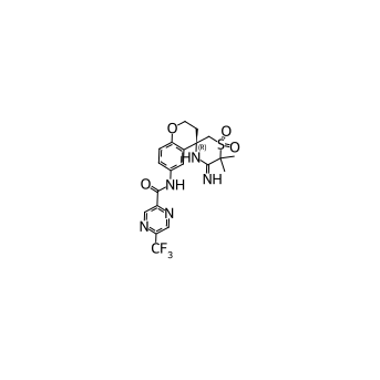 CC1(C)C(=N)N[C@@]2(CCOc3ccc(NC(=O)c4cnc(C(F)(F)F)cn4)cc32)CS1(=O)=O